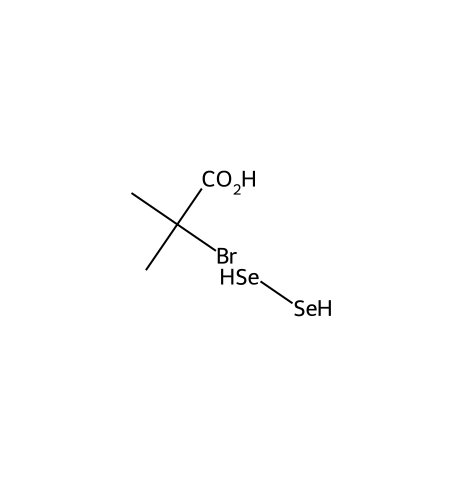 CC(C)(Br)C(=O)O.[SeH][SeH]